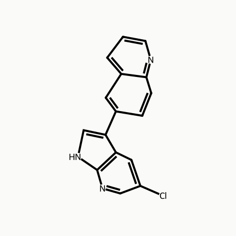 Clc1cnc2[nH]cc(-c3ccc4ncccc4c3)c2c1